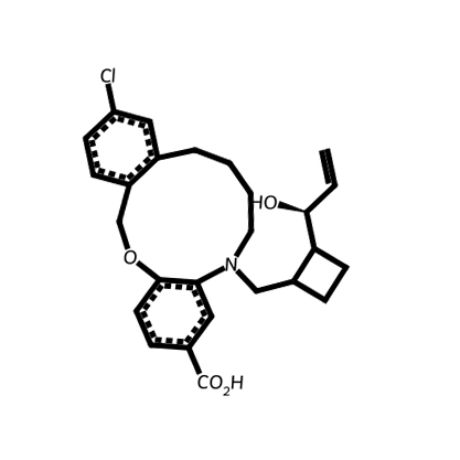 C=C[C@H](O)C1CCC1CN1CCCCc2cc(Cl)ccc2COc2ccc(C(=O)O)cc21